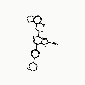 N#Cc1cn2c(NCc3c(F)ccc4c3CCO4)ncc(-c3ccc(C4COCCN4)cc3)c2n1